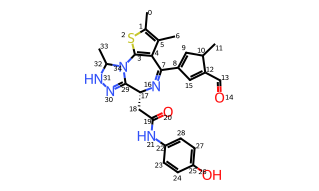 Cc1sc2c(c1C)C(C1=CC(C)C(C=O)=C1)=N[C@H](CC(=O)Nc1ccc(O)cc1)C1=NNC(C)N12